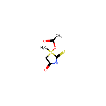 CC(=O)OS1(C)CC(=O)NC1=S